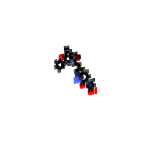 Cc1oc2ccccc2c1CN(C)C(=O)/C=C/c1cnc2c(c1)CC[C@@H](N1CC[C@H](O)C1)C(=O)N2